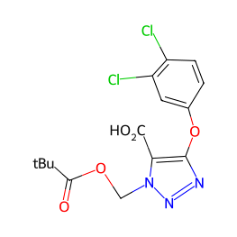 CC(C)(C)C(=O)OCn1nnc(Oc2ccc(Cl)c(Cl)c2)c1C(=O)O